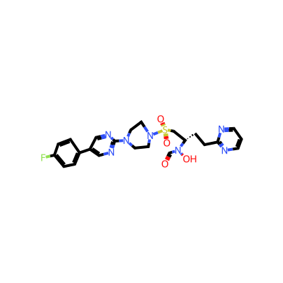 O=CN(O)[C@@H](CCc1ncccn1)CS(=O)(=O)N1CCN(c2ncc(-c3ccc(F)cc3)cn2)CC1